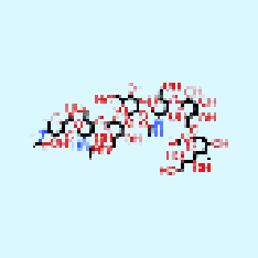 CC(=O)NC1[C@H](OC2C(O)[C@H](O)C(CO)O[C@@H]2O[C@@H]2C(O)[C@H](O[C@@H]3C(CO)O[C@@H](O[C@@H]4C(CO)O[C@@H](C)C(NC(C)=O)[C@H]4O)C(NC(C)=O)[C@H]3O)OC(CO)[C@H]2O)OC(CO)[C@@H](O[C@@H]2OC(CO[C@]3(OC=O)C[C@@H](O)[C@@H](C)C(C(O)C(O)CO)O3)[C@H](O)[C@H](O)C2O)[C@@H]1O